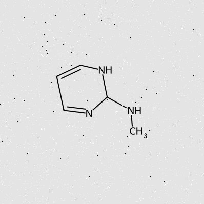 CN[C]1N=CC=CN1